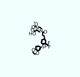 COC(=O)N1CCN(C(=O)/C=C/c2ccc(Sc3ccc4c(c3)OCCO4)c(C(F)(F)F)c2)CC1C(=O)O